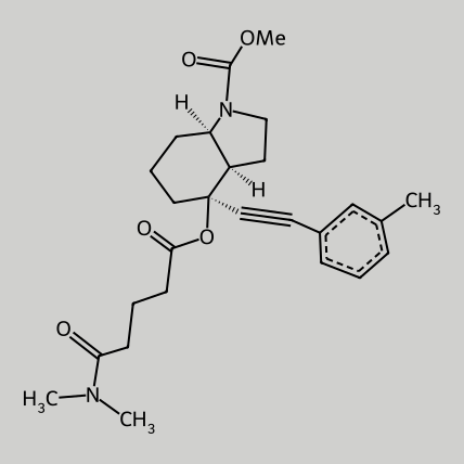 COC(=O)N1CC[C@@H]2[C@H]1CCC[C@]2(C#Cc1cccc(C)c1)OC(=O)CCCC(=O)N(C)C